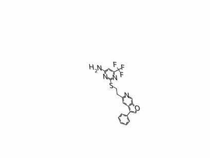 Nc1cc(C(F)(F)F)nc(SCCc2cc3c(-c4ccccc4)coc3cn2)n1